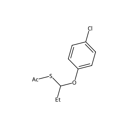 CCC(Oc1ccc(Cl)cc1)SC(C)=O